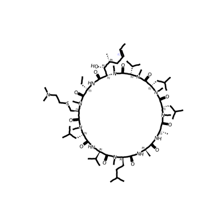 C/C=C/C[C@@H](C)[C@@H](O)[C@H]1C(=O)N[C@@H](CC)C(=O)N(C)[C@H](CSCCN(C)C)C(=O)N(C)[C@@H](CC(C)C)C(=O)N[C@H](C(C)C)C(=O)N(C)[C@H](CCC(C)C)C(=O)N[C@H](C)C(=O)N[C@@H](C)C(=O)N(C)[C@@H](CC(C)C)C(=O)N(C)[C@@H](CC(C)C)C(=O)N(C)[C@@H](C(C)C)C(=O)N1C